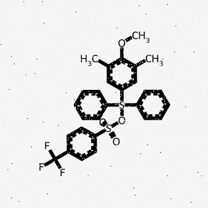 COc1c(C)cc(S(OS(=O)(=O)c2ccc(C(F)(F)F)cc2)(c2ccccc2)c2ccccc2)cc1C